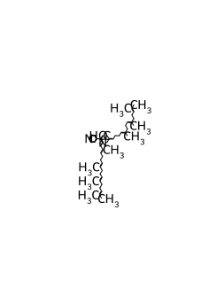 CC(C)=CCC/C(C)=C/CC/C(C)=C/CC/C=C(\C)CN(C/C(C)=C/CC/C=C(\C)CC/C=C(\C)CCC=C(C)C)C(=O)c1ccncc1